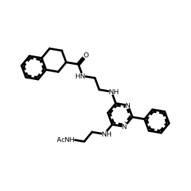 CC(=O)NCCNc1cc(NCCNC(=O)C2CCc3ccccc3C2)nc(-c2ccccc2)n1